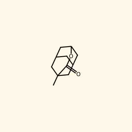 CC12CC3CC(CC(C3)OC1=O)C2